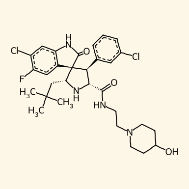 CC(C)(C)C[C@H]1N[C@@H](C(=O)NCCN2CCC(O)CC2)[C@H](c2cccc(Cl)c2)[C@@]12C(=O)Nc1cc(Cl)c(F)cc12